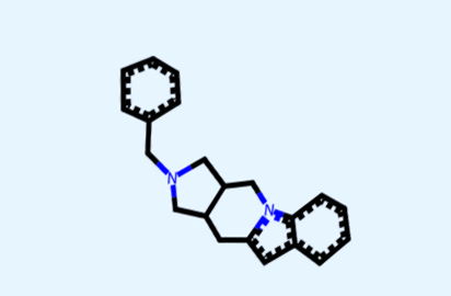 c1ccc(CN2CC3Cc4cc5ccccc5n4CC3C2)cc1